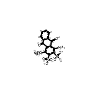 Nc1c2c(c(N)c(S(=O)(=O)[O-])c1S(=O)(=O)[O-])C(=O)c1ccccc1C2=O.[Na+].[Na+]